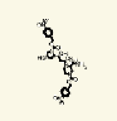 N=C(N)C1CN(C(=O)OCc2ccc([N+](=O)[O-])cc2)CCN1C(=O)CC(O)[C@@H]1C[C@H](S)CN1C(=O)OCc1ccc([N+](=O)[O-])cc1